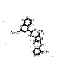 COc1cc(C(=O)Nc2c(C(F)(F)F)nn(Cc3ccncc3C#N)c2C)c2ccccc2n1